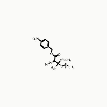 C[SiH](C)OC(C)(C(=[N+]=[N-])C(=O)OCc1ccc([N+](=O)[O-])cc1)C(C)(C)C